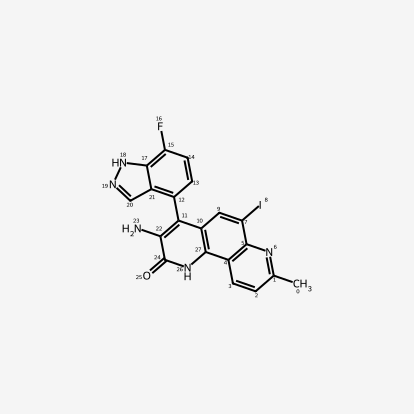 Cc1ccc2c(n1)c(I)cc1c(-c3ccc(F)c4[nH]ncc34)c(N)c(=O)[nH]c12